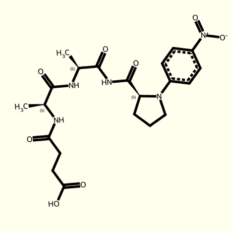 C[C@H](NC(=O)CCC(=O)O)C(=O)N[C@@H](C)C(=O)NC(=O)[C@@H]1CCCN1c1ccc([N+](=O)[O-])cc1